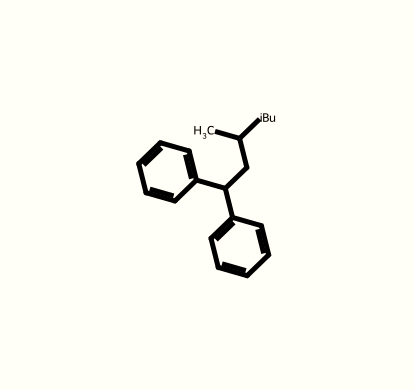 CCC(C)C(C)CC(c1ccccc1)c1ccccc1